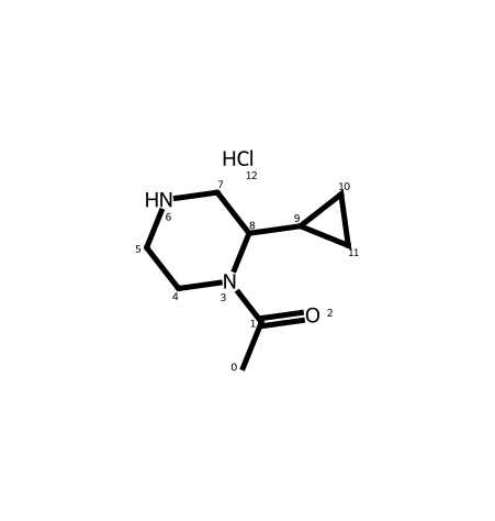 CC(=O)N1CCNCC1C1CC1.Cl